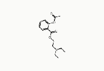 CCN(CC)CCOC(=O)c1ccccc1OC(C)=O